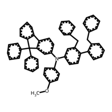 COc1ccc(N(c2ccc(-c3ccccc3Cc3ccccc3)c(Cc3ccccc3)c2)c2ccc3c(c2)C(c2ccccc2)(c2ccccc2)c2ccccc2-3)cc1